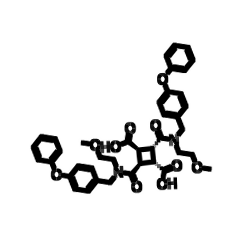 COCCN(Cc1ccc(Oc2ccccc2)cc1)C(=O)[C@H]1[C@H](C(=O)O)[C@H](C(=O)N(CCOC)Cc2ccc(Oc3ccccc3)cc2)[C@H]1C(=O)O